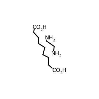 NCCN.O=C(O)CCCCCCCC(=O)O